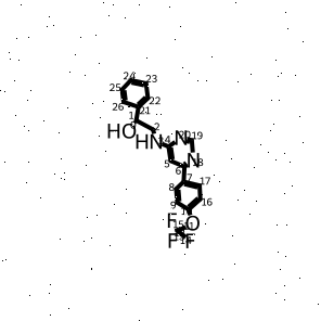 O[C@H](CNc1cc(-c2ccc(OC(F)(F)F)cc2)ncn1)c1ccccc1